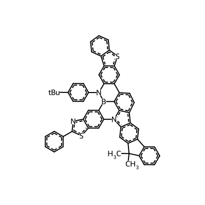 CC(C)(C)c1ccc(N2B3c4cc5nc(-c6ccccc6)sc5cc4-n4c5cc6c(cc5c5ccc(c3c54)-c3cc4sc5ccccc5c4cc32)-c2ccccc2C6(C)C)cc1